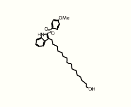 COc1ccc(S(=O)(=O)c2[nH]c3ccccc3c2CCCCCCCCCCCCCCCCO)cc1